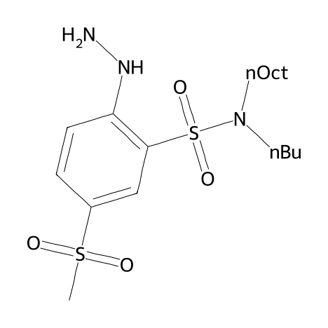 CCCCCCCCN(CCCC)S(=O)(=O)c1cc(S(C)(=O)=O)ccc1NN